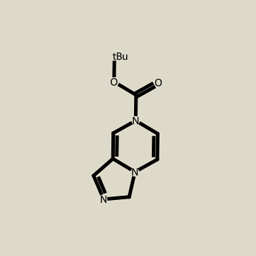 CC(C)(C)OC(=O)N1C=CN2CN=CC2=C1